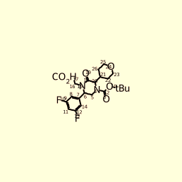 CC(C)(C)OC(=O)N1CC(c2cc(F)cc(F)c2)N(CC(=O)O)C(=O)C1C1CCOCC1